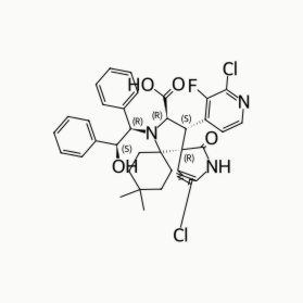 CC1(C)CCC2(CC1)N([C@H](c1ccccc1)[C@@H](O)c1ccccc1)[C@@H](C(=O)O)[C@H](c1ccnc(Cl)c1F)[C@]21C(=O)Nc2cc(Cl)ccc21